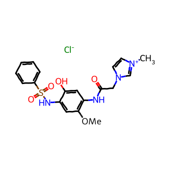 COc1cc(NS(=O)(=O)c2ccccc2)c(O)cc1NC(=O)Cn1cc[n+](C)c1.[Cl-]